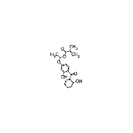 C=C(C)C(=O)OC(C)Oc1ccc(C(=O)c2ccccc2O)c(O)c1